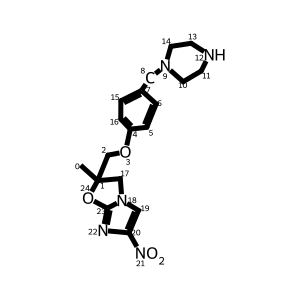 CC1(COc2ccc(CN3CCNCC3)cc2)Cn2cc([N+](=O)[O-])nc2O1